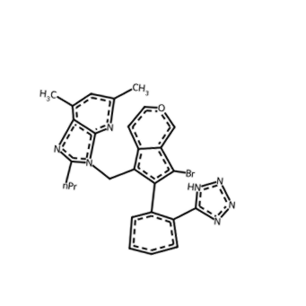 CCCc1nc2c(C)cc(C)nc2n1Cc1c2ccocc-2c(Br)c1-c1ccccc1-c1nnn[nH]1